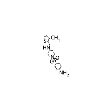 Cc1ccsc1CNC1CCN(S(=O)(=O)c2ccc(N)cc2)CC1